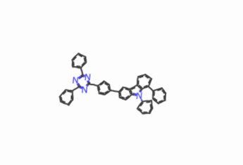 c1ccc(-c2nc(-c3ccccc3)nc(-c3ccc(-c4ccc5c(c4)c4cccc(-c6ccccc6)c4n5-c4ccccc4)cc3)n2)cc1